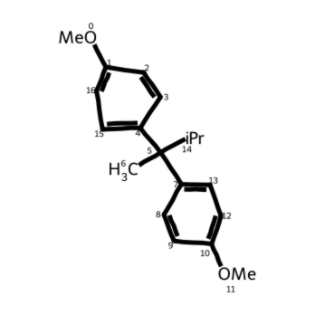 COc1ccc(C(C)(c2ccc(OC)cc2)C(C)C)cc1